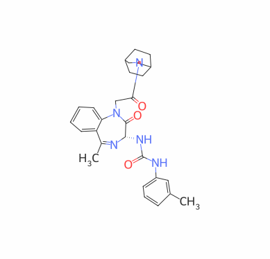 CC1=N[C@@H](NC(=O)Nc2cccc(C)c2)C(=O)N(CC(=O)N2CC3CCC(CC3)C2)c2ccccc21